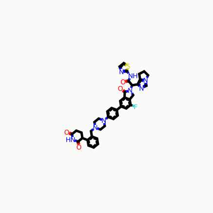 O=C1CCC(c2ccccc2CN2CCN(c3ccc(-c4cc(F)c5c(c4)C(=O)N(C(C(=O)Nc4nccs4)c4ncn6c4CCC6)C5)cc3)CC2)C(=O)N1